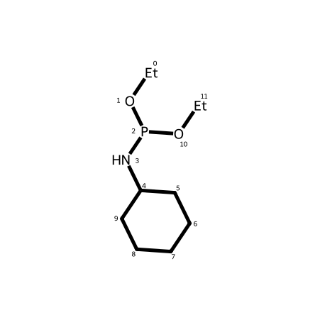 CCOP(NC1CCCCC1)OCC